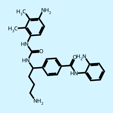 Cc1c(N)ccc(NC(=O)NC(CCCN)c2ccc(C(=O)Nc3ccccc3N)cc2)c1C